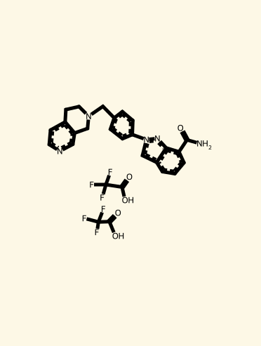 NC(=O)c1cccc2cn(-c3ccc(CN4CCc5ccncc5C4)cc3)nc12.O=C(O)C(F)(F)F.O=C(O)C(F)(F)F